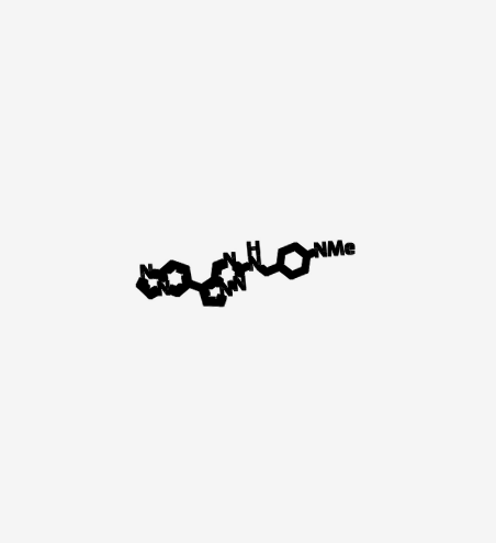 CNC1CCC(CNc2ncc3c(-c4ccc5nccn5c4)ccn3n2)CC1